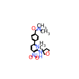 CN(C)C(=O)c1ccc(-c2ccc([N+](=O)[O-])c(NC3(C)CCOC3)n2)cc1